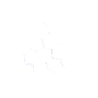 C=C(/C(=C\NN)c1ccnc(Br)c1)c1cccc(C)c1